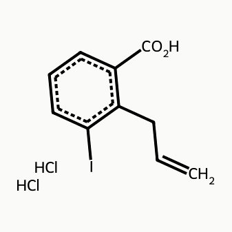 C=CCc1c(I)cccc1C(=O)O.Cl.Cl